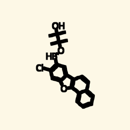 CC(C)(O)C(C)(C)OBc1cc2c(cc1Cl)oc1c3ccccc3ccc21